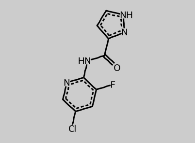 O=C(Nc1ncc(Cl)cc1F)c1cc[nH]n1